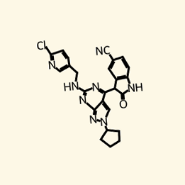 N#Cc1ccc2c(c1)C(c1nc(NCc3ccc(Cl)nc3)nc3nn(C4CCCC4)cc13)C(=O)N2